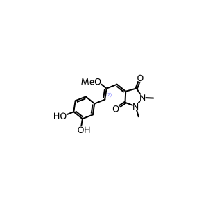 CO/C(C=C1C(=O)N(C)N(C)C1=O)=C\c1ccc(O)c(O)c1